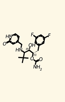 CC(C)(C)C(NCc1cc[nH]c(=O)c1)[C@@H](O)[C@H](Cc1cc(F)cc(F)c1)OC(N)=O